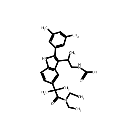 CCN(CC)C(=O)C(C)(C)c1ccc2[nH]c(-c3cc(C)cc(C)c3)c(C(C)CNC(=O)O)c2c1